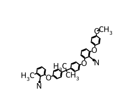 COc1ccc(Oc2cccc(Oc3ccc(C(C)(C)c4ccc(Oc5cccc(C)c5C#N)cc4)cc3)c2C#N)cc1